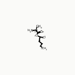 CCCCC(Cl)OC(=O)[C@H](C)N